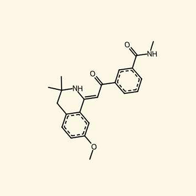 CNC(=O)c1cccc(C(=O)C=C2NC(C)(C)Cc3ccc(OC)cc32)c1